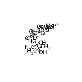 CC(C)(O)C(C)(C)O.[Mg+2].[Mg+2].[Mg+2].[O-]B([O-])[O-].[O-]B([O-])[O-]